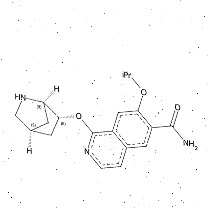 CC(C)Oc1cc2c(O[C@@H]3C[C@H]4CN[C@@H]3C4)nccc2cc1C(N)=O